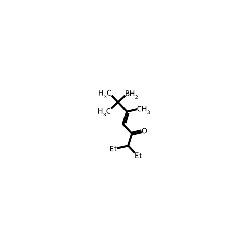 BC(C)(C)/C(C)=C/C(=O)C(CC)CC